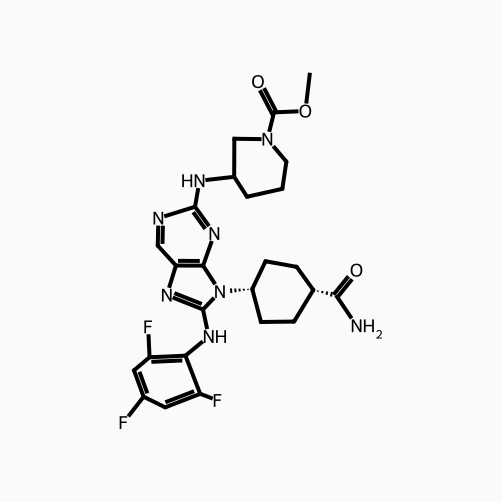 COC(=O)N1CCCC(Nc2ncc3nc(Nc4c(F)cc(F)cc4F)n([C@H]4CC[C@@H](C(N)=O)CC4)c3n2)C1